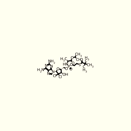 CC(C)OC(=O)[C@H](C)N[P@](=O)(OCCSC(=O)C(C)(C)C)OC[C@H]1O[C@@H](n2cnc3c(N)nc(N)nc32)C(Cl)(Cl)[C@@H]1O